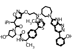 C=[N+](CCOc1cc(C(C(=O)N2C[C@H](O)C[C@H]2C(=O)N[C@@H](C)c2ccc(-c3scnc3C)cc2)C(C)C)on1)[C@H]1CCCCN(c2cc3cc(-c4ccccc4O)nnc3[nH]2)C1